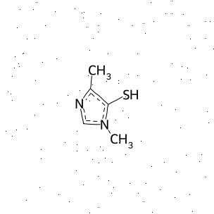 Cc1ncn(C)c1S